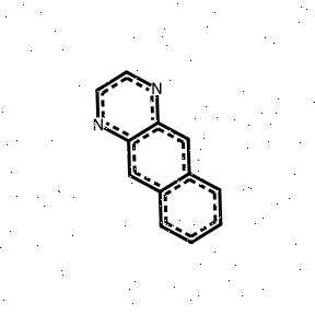 c1ccc2cc3nccnc3cc2c1